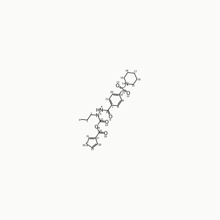 CCCN(NC(=O)c1ccc(S(=O)(=O)N2CCCCC2)cc1)C(=O)OC(=O)c1ccsc1